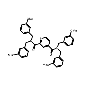 COc1cccc(CN(Cc2cccc(OC)c2)C(=O)c2ccnc(C(=O)N(Cc3cccc(OC)c3)Cc3cccc(OC)c3)c2)c1